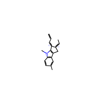 C=C/C=C1\C(=C/C)Cc2c1n(C)c1ccc(C)cc21